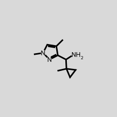 Cc1cn(C)nc1C(N)C1(C)CC1